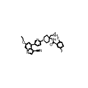 CCOc1cc(-c2ccc(N3CCC(CNC)(NC(=O)c4cc(F)ccc4F)CC3)nc2)c2c(C#N)cnn2c1